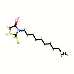 CCCCCCCCCCN1C(=O)CSC1=S